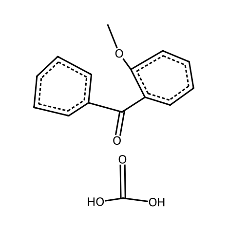 COc1ccccc1C(=O)c1ccccc1.O=C(O)O